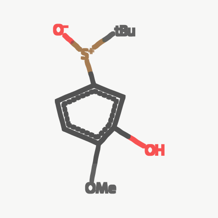 COc1ccc([S+]([O-])C(C)(C)C)cc1O